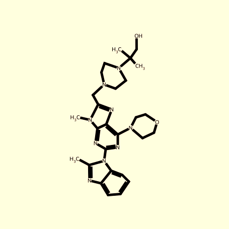 Cc1nc2ccccc2n1-c1nc(N2CCOCC2)c2nc(CN3CCN(C(C)(C)CO)CC3)n(C)c2n1